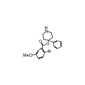 COc1ccc(Br)c(C(=O)OC2(c3ccccc3)CCNCC2)c1